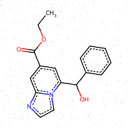 CCOC(=O)c1cc(C(O)c2ccccc2)n2ccnc2c1